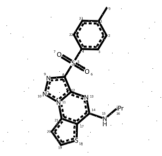 Cc1ccc(S(=O)(=O)c2nnn3c2nc(NC(C)C)c2sccc23)cc1